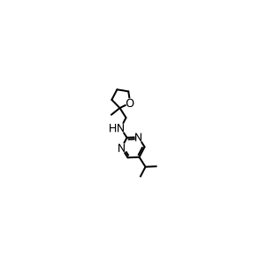 CC(C)c1cnc(NCC2(C)CCCO2)nc1